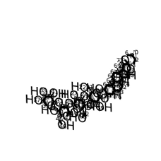 C[C@@H]1CC[C@]2(OC1)O[C@H]1C[C@H]3[C@@H]4CC[C@H]5C[C@@H](O[C@@H]6O[C@H](CO)[C@H](O[C@@H]7[C@@H](O)[C@H](O[C@@H]8[C@@H](O[C@@H]9OC[C@@H](O)[C@H](O)[C@H]9O)[C@H](O)[C@@H](CO)O[C@H]8O)O[C@H](CO)[C@H]7O)[C@H](O)[C@H]6O)[C@H](O)C[C@]5(C)[C@H]4CC[C@]3(C)[C@H]1[C@@H]2C